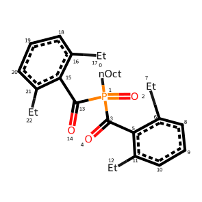 CCCCCCCCP(=O)(C(=O)c1c(CC)cccc1CC)C(=O)c1c(CC)cccc1CC